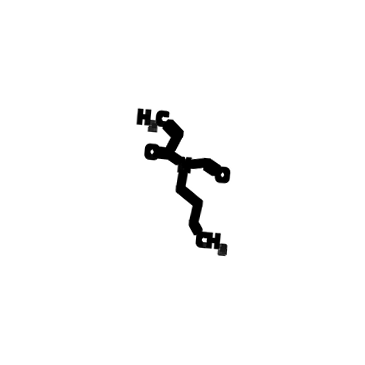 C=CC(=O)N(C=O)CCCC